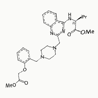 COC(=O)COc1ccccc1CN1CCN(Cc2nc(N[C@H](C(=O)OC)C(C)C)c3ccccc3n2)CC1